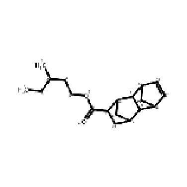 CCC(C)CCOC(=O)C1CC2CC1C1C3C=CC(C3)C21